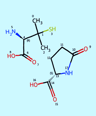 CC(C)(S)[C@H](N)C(=O)O.O=C1CC[C@@H](C(=O)O)N1